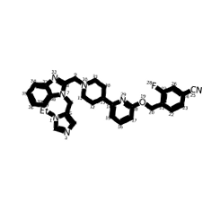 CCn1cncc1Cn1c(CN2CCC(c3cccc(OCc4ccc(C#N)cc4F)n3)CC2)nc2ccccc21